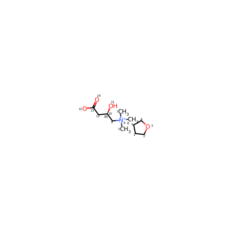 C1CCOC1.C[N+](C)(C)C[C@H](O)CC(=O)[O-]